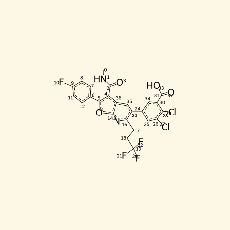 CNC(=O)c1c(-c2ccc(F)cc2)oc2nc(CCC(F)(F)F)c(-c3cc(Cl)c(Cl)c(C(=O)O)c3)cc12